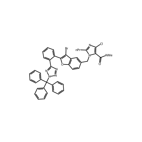 CCCc1nc(Cl)c(C(=O)NC)n1Cc1ccc2oc(-c3ccccc3-c3nnn(C(c4ccccc4)(c4ccccc4)c4ccccc4)n3)c(Br)c2c1